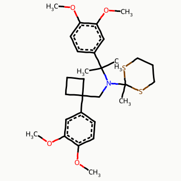 COc1ccc(C2(CN(C3(C)SCCCS3)C(C)(C)c3ccc(OC)c(OC)c3)CCC2)cc1OC